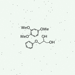 COc1ccc(OC)c(OC)c1.OCC(O)COc1ccccc1